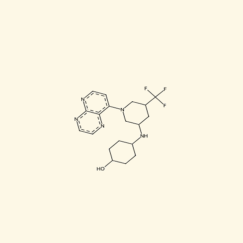 OC1CCC(NC2CC(C(F)(F)F)CN(c3ccnc4nccnc34)C2)CC1